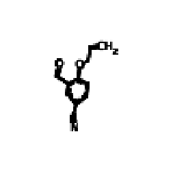 C=CCOc1ccc(C#N)cc1C=O